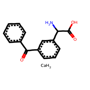 NC(C(=O)O)c1cccc(C(=O)c2ccccc2)c1.[CaH2]